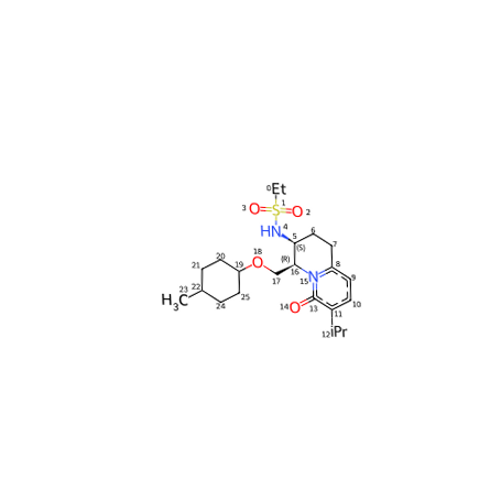 CCS(=O)(=O)N[C@H]1CCc2ccc(C(C)C)c(=O)n2[C@H]1COC1CCC(C)CC1